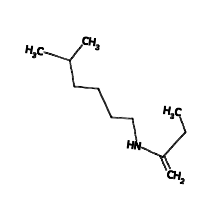 C=C(CC)NCCCCC(C)C